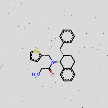 NCC(=O)N(Cc1cccs1)[C@@H]1c2ccccc2CC[C@H]1Cc1ccccc1